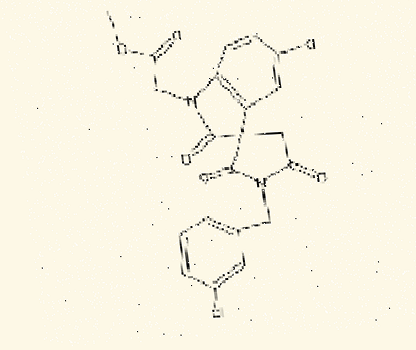 COC(=O)CN1C(=O)C2(CC(=O)N(Cc3cccc(Cl)c3)C2=O)c2cc(Cl)ccc21